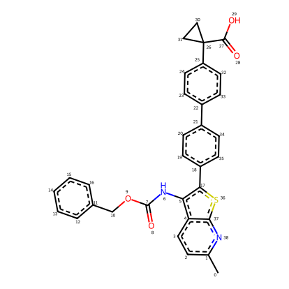 Cc1ccc2c(NC(=O)OCc3ccccc3)c(-c3ccc(-c4ccc(C5(C(=O)O)CC5)cc4)cc3)sc2n1